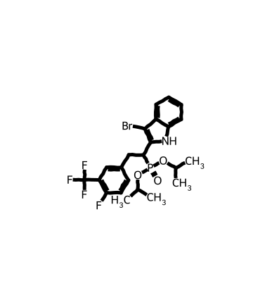 CC(C)OP(=O)(OC(C)C)C(Cc1ccc(F)c(C(F)(F)F)c1)c1[nH]c2ccccc2c1Br